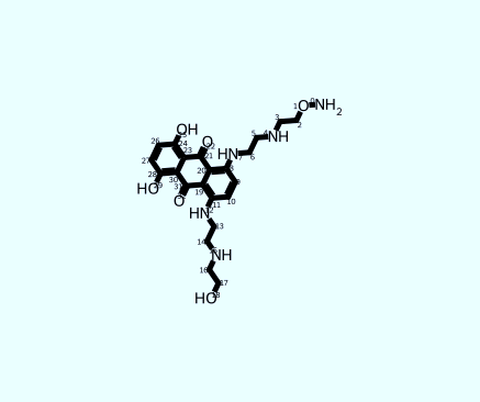 NOCCNCCNc1ccc(NCCNCCO)c2c1C(=O)c1c(O)ccc(O)c1C2=O